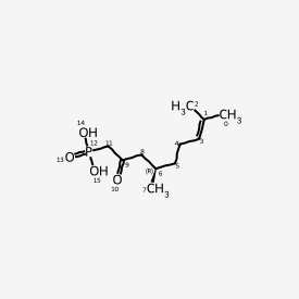 CC(C)=CCC[C@@H](C)CC(=O)CP(=O)(O)O